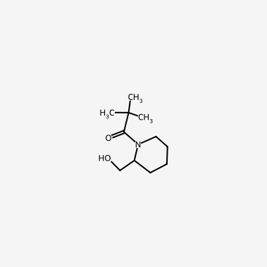 CC(C)(C)C(=O)N1CCCCC1CO